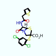 O=C(Cc1cccs1)N[C@@H]1C(=O)N2CC(Sc3cc(Cl)ccc3Cl)(C(=O)O)CS[C@H]12